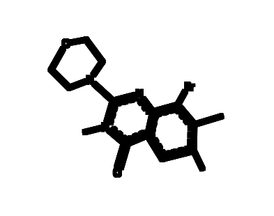 Cc1cc2c(=O)n(C)c(N3CCOCC3)nc2c(Br)c1C